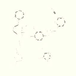 Cc1ccccc1C1=CC=CC(COc2cc(OCc3nc[nH]c3C)c(CNCc3ccnc(C#N)n3)cc2Cl)(OCCCN2CCC(O)C2)[C@@H]1C